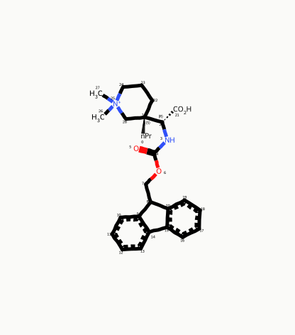 CCC[C@]1([C@@H](NC(=O)OCC2c3ccccc3-c3ccccc32)C(=O)O)CCC[N+](C)(C)C1